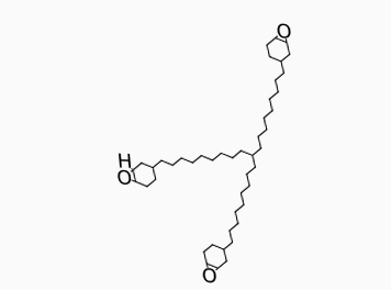 C(CCCCC(CCCCCCCCCC1CCC2OC2C1)CCCCCCCCCC1CCC2O[C@H]2C1)CCCCC1CCC2OC2C1